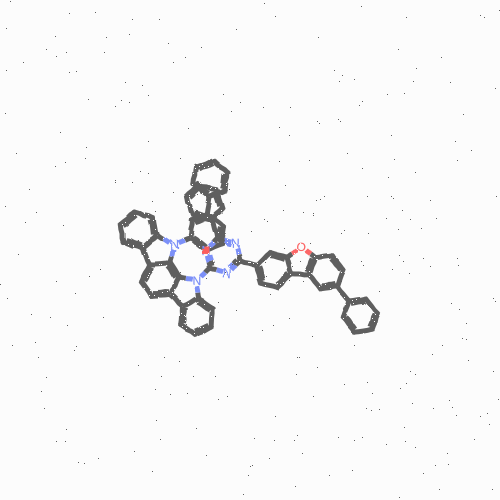 c1ccc(-c2cccc(-n3c4ccccc4c4ccc5c6ccccc6n(-c6nc(-c7ccccc7)nc(-c7ccc8c(c7)oc7ccc(-c9ccccc9)cc78)n6)c5c43)c2)cc1